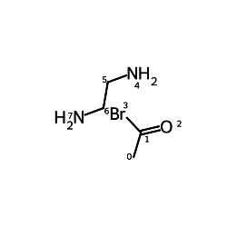 CC(=O)Br.NCCN